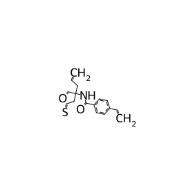 C=CCC(C=O)(CC=S)NC(=O)c1ccc(C=C)cc1